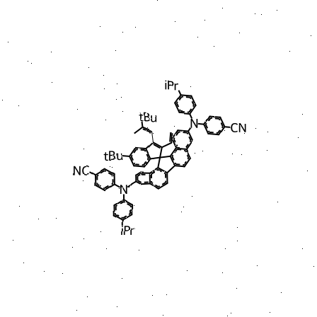 C=CC1=C(/C=C(\C)C(C)(C)C)c2cc(C(C)(C)C)ccc2C12c1c(ccc3cc(N(c4ccc(C#N)cc4)c4ccc(C(C)C)cc4)ccc13)-c1ccc3cc(N(c4ccc(C#N)cc4)c4ccc(C(C)C)cc4)ccc3c12